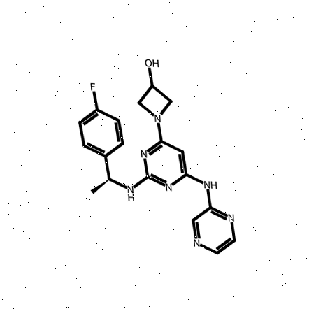 C[C@H](Nc1nc(Nc2cnccn2)cc(N2CC(O)C2)n1)c1ccc(F)cc1